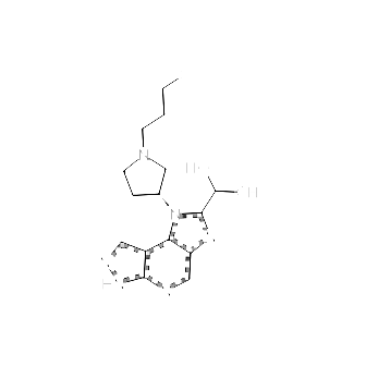 CC(O)c1nc2cnc3[nH]ncc3c2n1[C@H]1CCN(CCCC(F)(F)F)C1